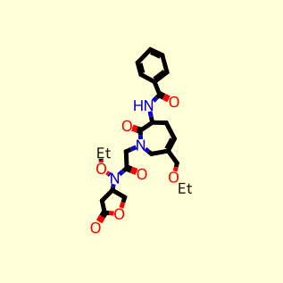 CCOCC1=CCC(NC(=O)c2ccccc2)C(=O)N(CC(=O)N(OCC)C2COC(=O)C2)C1